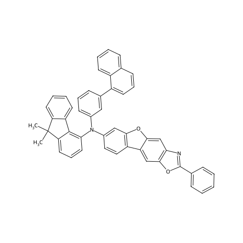 CC1(C)c2ccccc2-c2c(N(c3cccc(-c4cccc5ccccc45)c3)c3ccc4c(c3)oc3cc5nc(-c6ccccc6)oc5cc34)cccc21